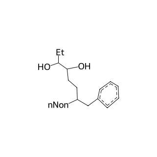 CCCCCCCCCC(CCC(O)C(O)CC)Cc1ccccc1